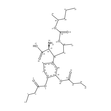 CCCC(=O)Oc1ccc(C(CC(C)OC(=O)OC(C)CCC)[C@H](N)C(=O)O)cc1OC(=O)CCC